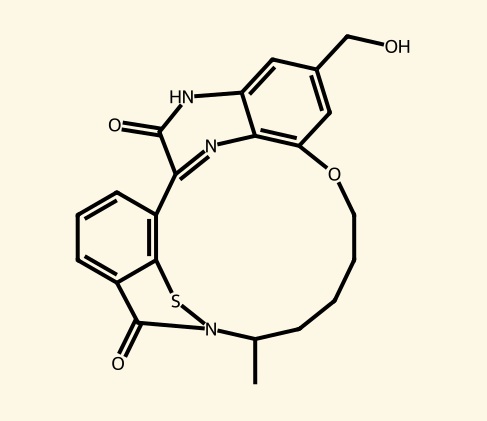 CC1CCCCOc2cc(CO)cc3[nH]c(=O)c(nc23)-c2cccc3c(=O)n1sc23